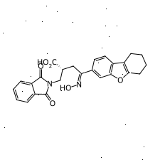 O=C(O)[C@H](CC(=NO)c1ccc2c3c(oc2c1)CCCC3)CN1C(=O)c2ccccc2C1=O